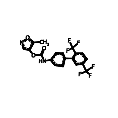 Cc1oncc1OC(=O)Nc1ccc(-c2cc(C(F)(F)F)ccc2C(F)(F)F)cc1